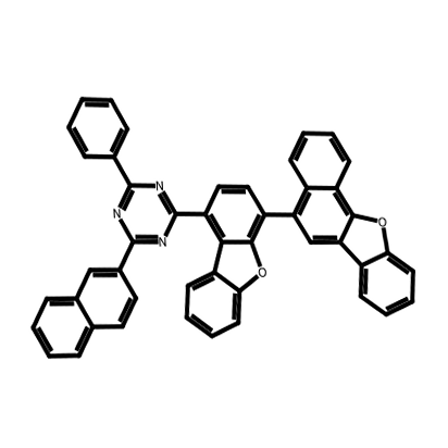 c1ccc(-c2nc(-c3ccc4ccccc4c3)nc(-c3ccc(-c4cc5c6ccccc6oc5c5ccccc45)c4oc5ccccc5c34)n2)cc1